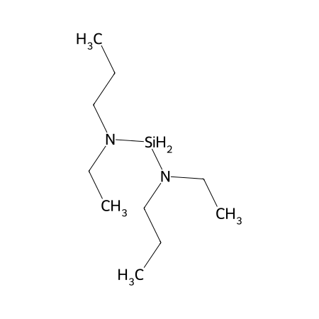 CCCN(CC)[SiH2]N(CC)CCC